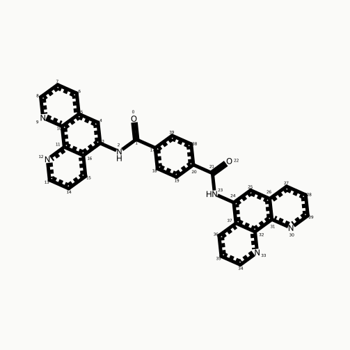 O=C(Nc1cc2cccnc2c2ncccc12)c1ccc(C(=O)Nc2cc3cccnc3c3ncccc23)cc1